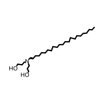 CCCCCCCCCCCCCCCCCCCCCC=CN(CCCO)CCCO